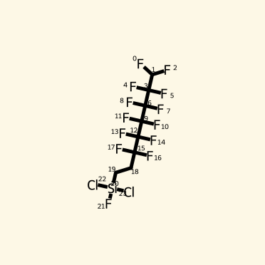 FC(F)C(F)(F)C(F)(F)C(F)(F)C(F)(F)C(F)(F)CC[Si](F)(Cl)Cl